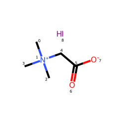 C[N+](C)(C)CC(=O)[O-].I